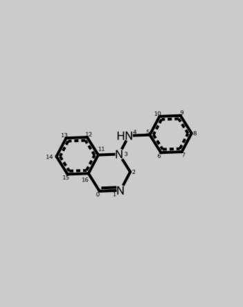 C1=NCN(Nc2ccccc2)c2ccccc21